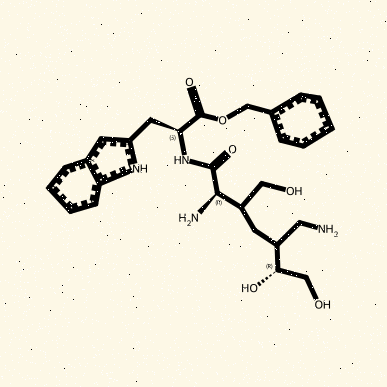 NCC(CC(CO)[C@@H](N)C(=O)N[C@@H](Cc1cc2ccccc2[nH]1)C(=O)OCc1ccccc1)[C@@H](O)CO